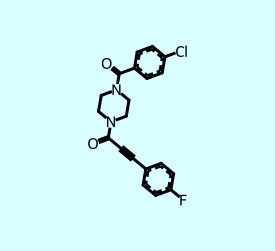 O=C(C#Cc1ccc(F)cc1)N1CCN(C(=O)c2ccc(Cl)cc2)CC1